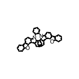 c1ccc(-n2c3ccccc3c3c4oc5ccccc5c4ccc32)c(-n2c3ccccc3c3c4oc5ccccc5c4ccc32)c1